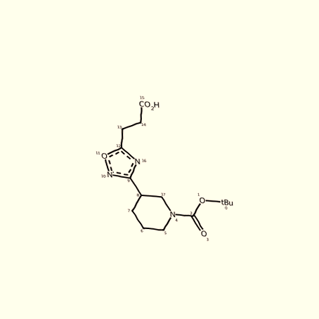 CC(C)(C)OC(=O)N1CCCC(c2noc(CCC(=O)O)n2)C1